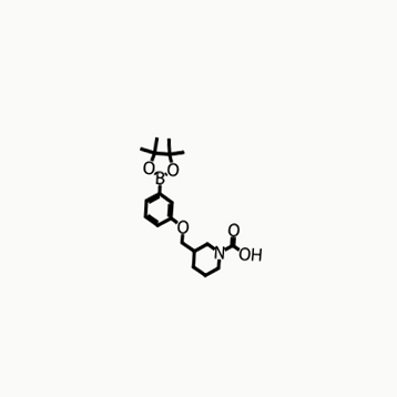 CC1(C)OB(c2cccc(OCC3CCCN(C(=O)O)C3)c2)OC1(C)C